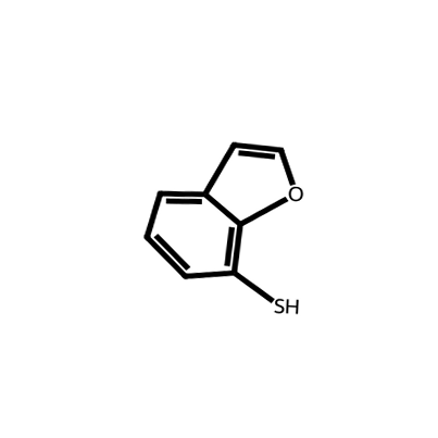 Sc1cccc2ccoc12